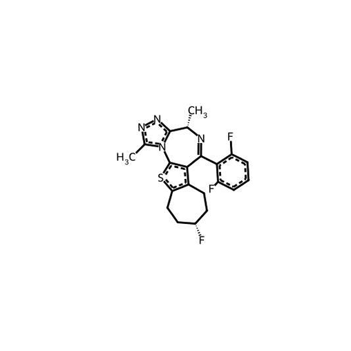 Cc1nnc2n1-c1sc3c(c1C(c1c(F)cccc1F)=N[C@H]2C)CC[C@H](F)CC3